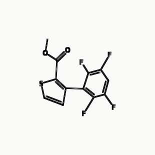 COC(=O)c1sccc1-c1c(F)c(F)cc(F)c1F